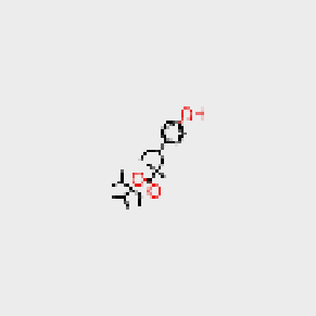 CCC(CC(C)(C)C(=O)OC(CC)(C(C)C)C(C)C)c1ccc(O)cc1